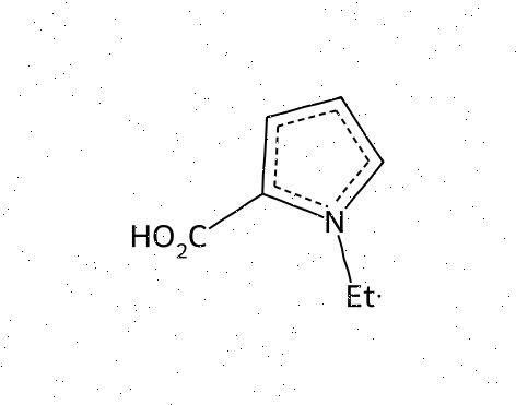 C[CH]n1cccc1C(=O)O